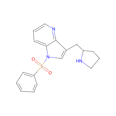 O=S(=O)(c1ccccc1)n1cc(CC2CCCN2)c2ncccc21